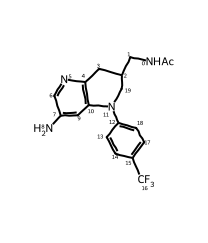 CC(=O)NCC1Cc2ncc(N)cc2N(c2ccc(C(F)(F)F)cc2)C1